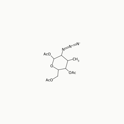 CC(=O)OCC1OC(OC(C)=O)C(N=[N+]=[N-])C(C)C1OC(C)=O